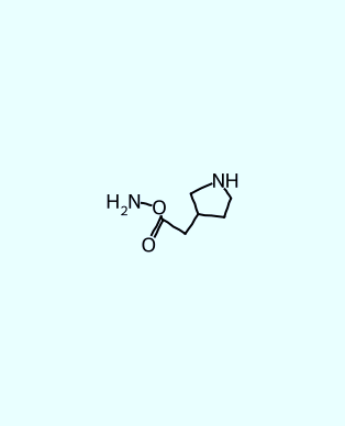 NOC(=O)CC1CCNC1